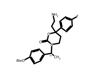 COc1ccc([C@H](C)N2CCC(CCN)(c3ccc(F)cc3)OC2=O)cc1